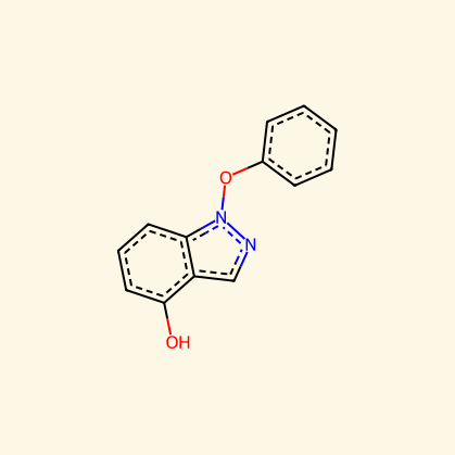 Oc1cccc2c1cnn2Oc1ccccc1